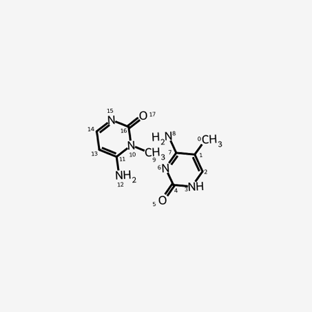 Cc1c[nH]c(=O)nc1N.Cn1c(N)ccnc1=O